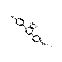 CCCCCCC[n+]1ccc(-c2cc[n+](-c3ccc(C#N)cc3)cc2)cc1.ClBr